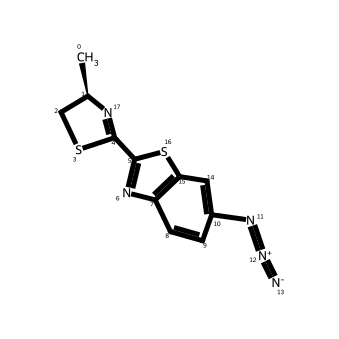 C[C@@H]1CSC(c2nc3ccc(N=[N+]=[N-])cc3s2)=N1